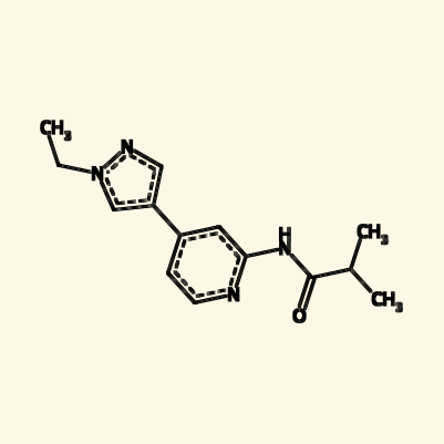 CCn1cc(-c2ccnc(NC(=O)C(C)C)c2)cn1